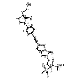 CC(CCN1Cc2cc(C#Cc3ccc(N4CCN(CCO)C4=O)cc3)cn2C1=O)(C(=O)NO)S(C)(=O)=O